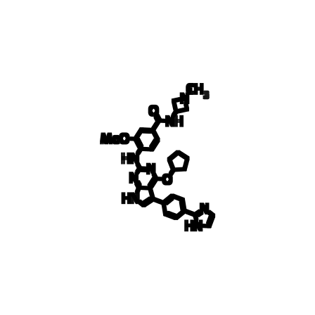 COc1cc(C(=O)NC2CN(C)C2)ccc1Nc1nc(OC2CCCC2)c2c(-c3ccc(-c4ncc[nH]4)cc3)c[nH]c2n1